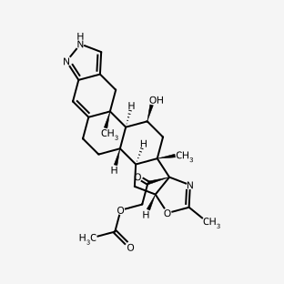 CC(=O)OCC(=O)[C@@]12N=C(C)O[C@@H]1C[C@H]1[C@@H]3CCC4=Cc5n[nH]cc5C[C@]4(C)[C@H]3[C@@H](O)C[C@@]12C